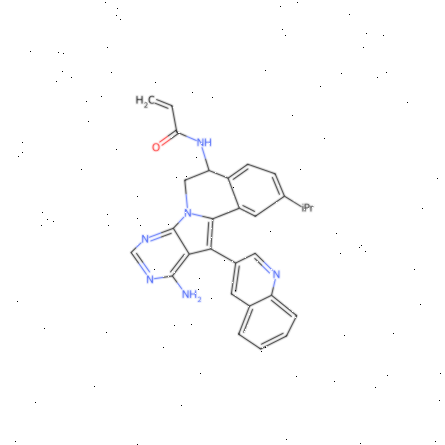 C=CC(=O)NC1Cn2c(c(-c3cnc4ccccc4c3)c3c(N)ncnc32)-c2cc(C(C)C)ccc21